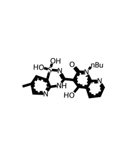 CCCCn1c(=O)c(C2=NS(O)(O)c3cc(C)cnc3N2)c(O)c2cccnc21